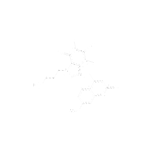 COc1ccc2c(C)cc(=O)oc2c1.Cn1c(=O)c2c(ncn2CCCC(=O)O)n(C)c1=O